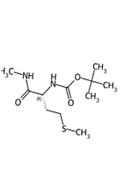 CNC(=O)[C@@H](CCSC)NC(=O)OC(C)(C)C